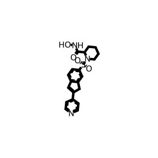 O=C(NO)C1CCCCN1S(=O)(=O)c1ccc2c(c1)CC(c1ccncc1)=C2